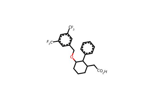 O=C(O)CC1CCCC(OCc2cc(C(F)(F)F)cc(C(F)(F)F)c2)C1c1ccccc1